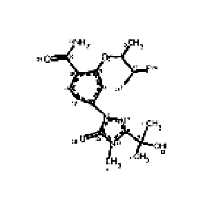 CC(Oc1cc(-n2nc(C(C)(C)O)n(C)c2=O)ccc1C(N)=O)C(F)F